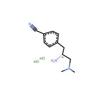 CN(C)C[C@H](N)Cc1ccc(C#N)cc1.Cl.Cl